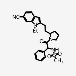 CCn1c(CCC2CCCN2C(=O)C(NS(C)(=O)=O)c2ccccc2)cc2ccc(C#N)cc21